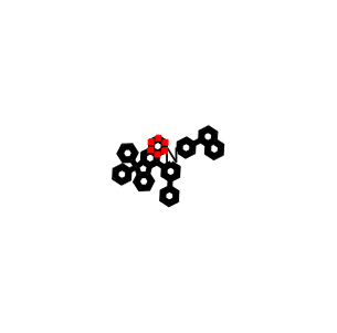 c1ccc(-c2ccc(N(c3ccccc3)c3ccc(-c4cccc5ccccc45)cc3)c(-c3c4c(cc5ccccc35)C(c3ccccc3)(c3ccccc3)c3ccccc3-4)c2)cc1